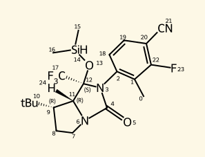 Cc1c(N2C(=O)N3CC[C@H](C(C)(C)C)[C@@H]3[C@]2(O[SiH](C)C)C(F)(F)F)ccc(C#N)c1F